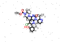 Cc1ccnc(C(C)C(F)(F)F)c1-n1c(=O)nc(N2C[C@@H](C)N(C(=O)OC(C)(C)C)C[C@@H]2C)c2cc(Cl)c(-c3ccccc3O)nc21